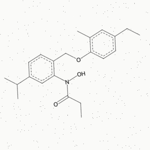 CCC(=O)N(O)c1cc(C(C)C)ccc1COc1ccc(CC)cc1C